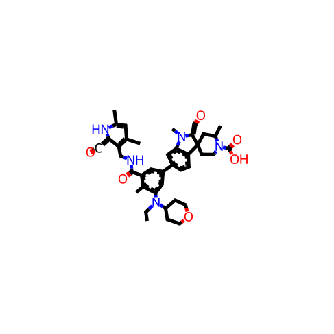 CCN(c1cc(-c2ccc3c(c2)N(C)C(=C=O)C32CCN(C(=O)O)C(C)C2)cc(C(=O)NCC2=C(C)C=C(C)NC2=C=O)c1C)C1CCOCC1